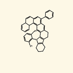 CC(C)c1cccc(C(C)C)c1-n1c2c(c3c1-c1cc4c5c(cc(-c6ccccc6)c4cc1CC3)C=CC1C=CC=CC51)CCCC2